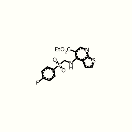 CCOC(=O)c1cnc2sccc2c1NCS(=O)(=O)c1ccc(F)cc1